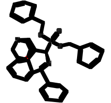 O=P(OCc1ccccc1)(OCc1ccccc1)[C@@H](N=C(c1ccccc1)c1ccccc1)C1CN2CCC1CC2